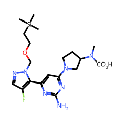 CN(C(=O)O)C1CCN(c2cc(-c3c(F)cnn3COCC[Si](C)(C)C)nc(N)n2)C1